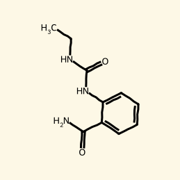 CCNC(=O)Nc1ccccc1C(N)=O